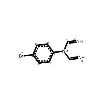 N=CN(C=N)c1ccc(Br)cc1